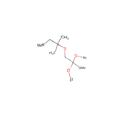 CCOC(CO[Si](C)(C)CNC)(OC)OCC